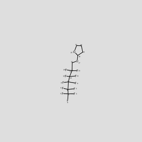 FC(F)(F)C(F)(F)C(F)(F)C(F)(F)C(F)(F)COC1CCCO1